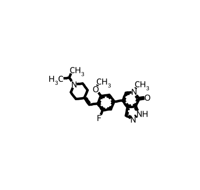 COc1cc(-c2cn(C)c(=O)c3[nH]ncc23)cc(F)c1C=C1CCN(C(C)C)CC1